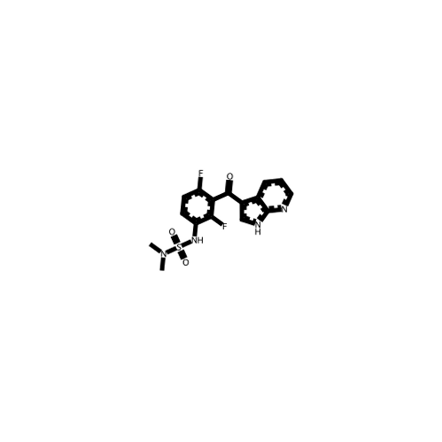 CN(C)S(=O)(=O)Nc1ccc(F)c(C(=O)c2c[nH]c3ncccc23)c1F